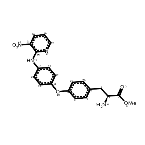 COC(=O)[C@@H](N)Cc1ccc(Oc2ccc(Nc3ncccc3[N+](=O)[O-])cc2)cc1